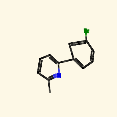 Cc1cccc(-c2cccc(Br)c2)n1